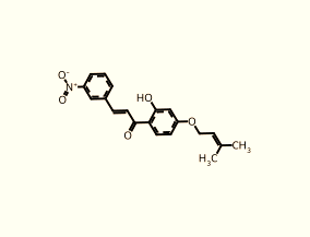 CC(C)=CCOc1ccc(C(=O)C=Cc2cccc([N+](=O)[O-])c2)c(O)c1